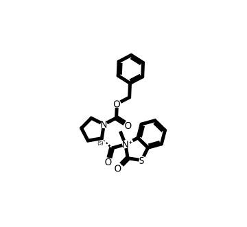 C[N+]1(C(=O)[C@@H]2CCCN2C(=O)OCc2ccccc2)C(=O)Sc2ccccc21